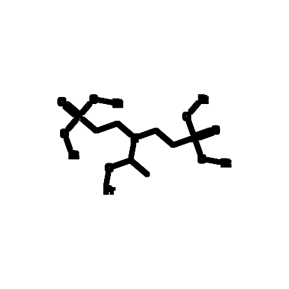 CCOP(=O)(CCN(CCP(=O)(OCC)OCC)C(C)OC(C)C)OCC